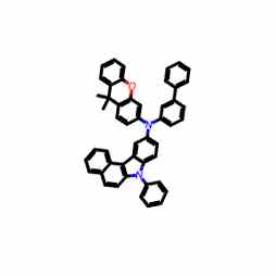 CC1(C)c2ccccc2Oc2cc(N(c3cccc(-c4ccccc4)c3)c3ccc4c(c3)c3c5ccccc5ccc3n4-c3ccccc3)ccc21